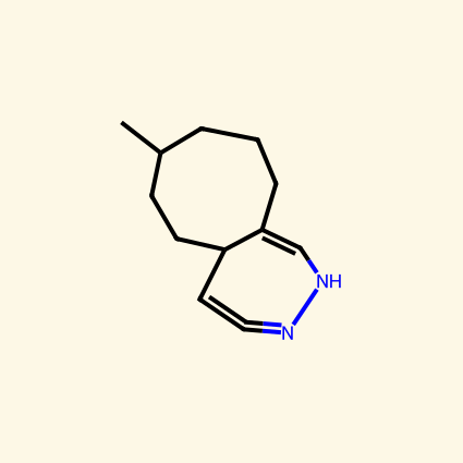 CC1CCCC2=CNN=C=CC2CC1